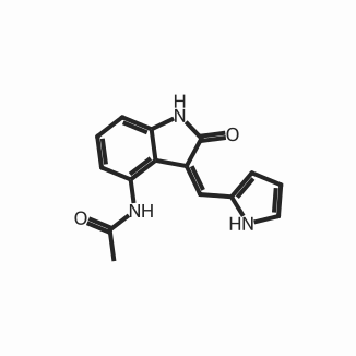 CC(=O)Nc1cccc2c1C(=Cc1ccc[nH]1)C(=O)N2